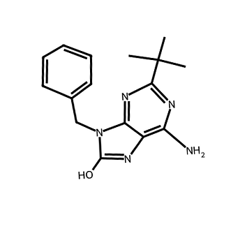 CC(C)(C)c1nc(N)c2nc(O)n(Cc3ccccc3)c2n1